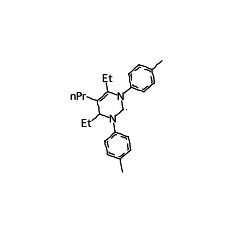 CCCC1=C(CC)N(c2ccc(C)cc2)[CH]N(c2ccc(C)cc2)C1CC